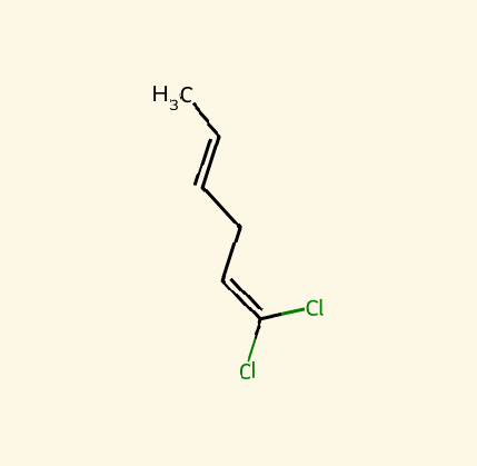 CC=CCC=C(Cl)Cl